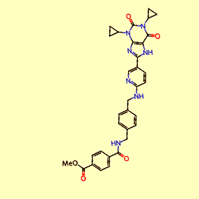 COC(=O)c1ccc(C(=O)NCc2ccc(CNc3ccc(-c4nc5c([nH]4)c(=O)n(C4CC4)c(=O)n5C4CC4)cn3)cc2)cc1